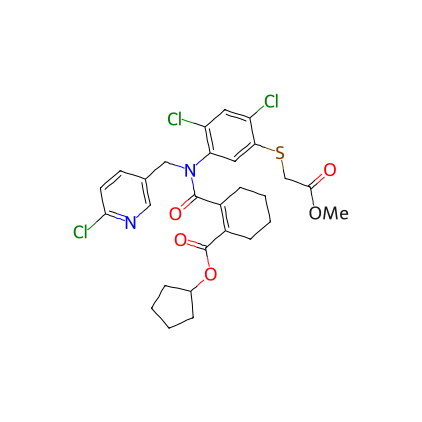 COC(=O)CSc1cc(N(Cc2ccc(Cl)nc2)C(=O)C2=C(C(=O)OC3CCCC3)CCCC2)c(Cl)cc1Cl